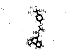 CC(C)(C)c1ccc(OCC(=O)NCc2cc3c(c4ccccc24)CN=N3)cc1